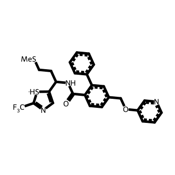 CSCCC(NC(=O)c1ccc(COc2cccnc2)cc1-c1ccccc1)C1=CN=C(C(F)(F)F)[SH]1